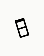 C1=CC2CCC12